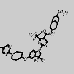 CCC1(CC)CN(c2ncc(C(=O)NC3CC4CC(C3)CC(C(=O)O)C4)c(C(C)(F)F)n2)c2ccc(OC3CCN(c4ncc(F)cn4)CC3)cc21